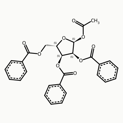 CC(=O)O[C@@H]1O[C@@H](COC(=O)c2ccccc2)[C@H](OC(=O)c2ccccc2)[C@@H]1OC(=O)c1ccccc1